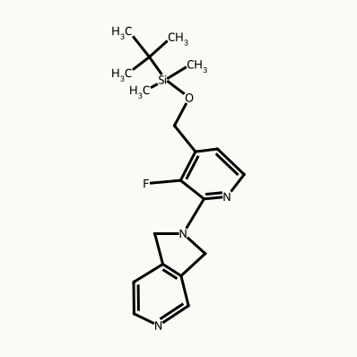 CC(C)(C)[Si](C)(C)OCc1ccnc(N2Cc3ccncc3C2)c1F